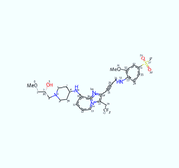 COC[C@H](O)CN1CCC(Nc2cccn3c(CC(F)(F)F)c(C#CCNc4ccc(S(C)(=O)=O)cc4OC)nc23)CC1